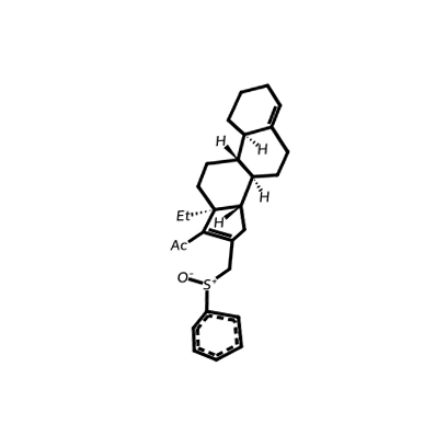 CC[C@]12CC[C@H]3[C@@H](CCC4=CCCC[C@@H]43)[C@@H]1CC(C[S+]([O-])c1ccccc1)=C2C(C)=O